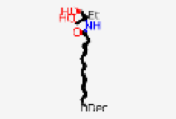 CCCCCCCCCCCCCCCCCCC=CC(=O)NC(CC)(CO)CO